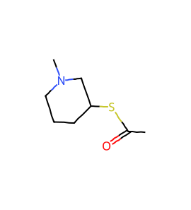 CC(=O)SC1CCCN(C)C1